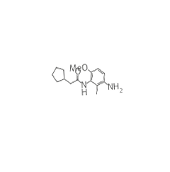 COc1ccc(N)c(C)c1NC(=O)CC1CCCC1